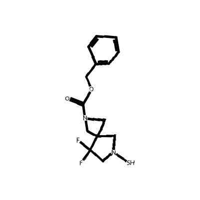 O=C(OCc1ccccc1)N1CC2(CN(S)CC2(F)F)C1